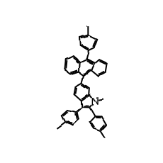 Cc1ccc(-c2c3ccccc3c(-c3ccc4c(-c5ccc(C)cc5)c(-c5ccc(C)cc5)n(C)c4c3)c3ccccc23)cc1